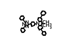 CC1(C)c2cc(-c3ccccc3)ccc2N(c2ccc(-c3nc(-c4ccccc4)nc(-c4ccccc4)n3)cc2)c2ccc(-c3ccccc3)cc21